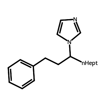 CCCCCCCC(CCc1ccccc1)n1ccnc1